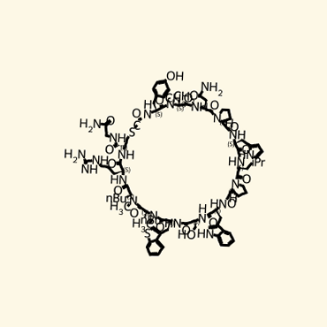 CCCC[C@H]1C(=O)N(C)[C@@H](CCCC)C(=O)N[C@@H](CCCNC(=N)N)C(=O)N[C@H](C(=O)NCC(N)=O)CSCC(=O)N[C@@H](Cc2ccc(O)cc2)C(=O)N(C)[C@@H](C)C(=O)N[C@@H](CC(N)=O)C(=O)N2CCC[C@H]2C(=O)N[C@@H](Cc2ccc[nH]2)C(=O)N[C@@H](CC(C)C)C(=O)N2CCC[C@H]2C(=O)N[C@@H](Cc2c[nH]c3ccccc23)C(=O)N[C@@H](CO)C(=O)N[C@@H](Cc2csc3ccccc23)C(=O)N1C